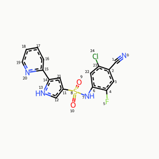 N#Cc1cc(F)c(NS(=O)(=O)c2c[nH]c(-c3ccccn3)c2)cc1Cl